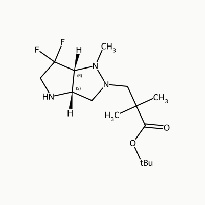 CN1[C@@H]2[C@H](CN1CC(C)(C)C(=O)OC(C)(C)C)NCC2(F)F